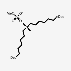 CCCCCCCCCCCCCCCC[N+](C)(C)CCCCCCCCCCCCCCCC.COS(=O)(=O)[O-]